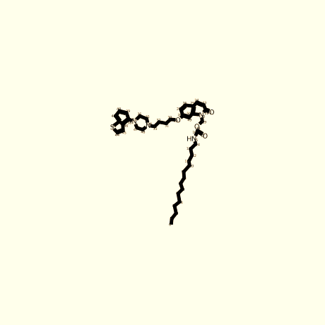 CCCCCCCCCCCCCCCNC(=O)OCn1c(=O)ccc2ccc(OCCCCN3CCN(c4cccc5sccc45)CC3)cc21